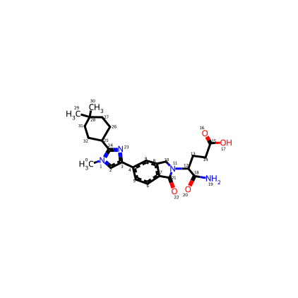 Cn1cc(-c2ccc3c(c2)CN(C(CCC(=O)O)C(N)=O)C3=O)nc1C1CCC(C)(C)CC1